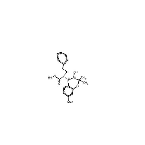 CNc1ccc2c(c1)OC(C)(C)[C@H](O)[C@H]2N(CCc1ccccc1)C(=O)OC(C)(C)C